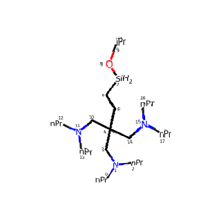 CCCN(CCC)CC(CC[SiH2]OC(C)C)(CN(CCC)CCC)CN(CCC)CCC